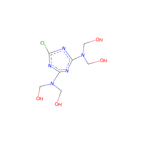 OCN(CO)c1nc(Cl)nc(N(CO)CO)n1